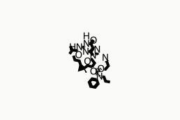 CCCC1C[C@@]1(C)[C@H]1O[C@@H](n2cnc3c(=O)[nH]c(NC(=O)C(C)C)nc32)CC1OP(OCCC#N)N(CCC)c1ccccc1